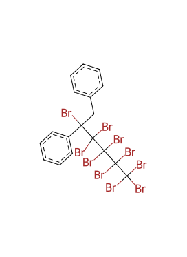 BrC(Br)(Br)C(Br)(Br)C(Br)(Br)C(Br)(Br)C(Br)(Cc1ccccc1)c1ccccc1